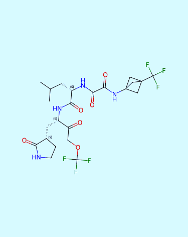 CC(C)C[C@H](NC(=O)C(=O)NC12CC(C(F)(F)F)(C1)C2)C(=O)N[C@@H](C[C@@H]1CCNC1=O)C(=O)COC(F)(F)F